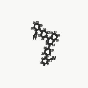 N#Cc1ccccc1-c1ccc(-c2cc3ccccc3c(-c3ccc(-c4ccccc4C#N)cc3)n2)cc1